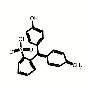 C=c1ccc(=C(c2ccc(O)cc2)c2ccccc2S(=O)(=O)O)cc1